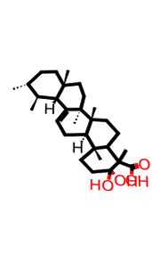 C[C@H]1[C@H](C)CC[C@]2(C)CC[C@]3(C)C(=CC[C@@H]4[C@@]5(C)CCC(O)(O)C(C)(C(=O)O)C5CC[C@]43C)[C@H]12